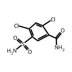 NC(=O)c1cc(S(N)(=O)=O)c(Cl)cc1Cl